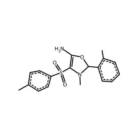 Cc1ccc(S(=O)(=O)C2=C(N)OC(c3ccccc3C)N2C)cc1